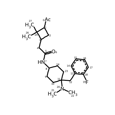 CC(=O)C1CC(CC(=O)NC2CCC(Cc3ccccc3F)(N(C)C)CC2)C1(C)C